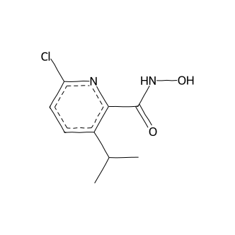 CC(C)c1ccc(Cl)nc1C(=O)NO